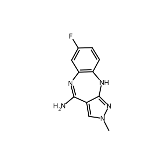 Cn1cc2c(n1)Nc1ccc(F)cc1N=C2N